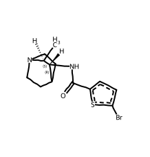 C[C@H]1[C@H](NC(=O)c2ccc(Br)s2)C2CCN1CC2